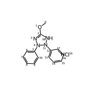 COC1=NN(c2ccccc2)N(c2ccccc2)N1.Cl